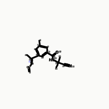 C=N/C=C(\C)c1cc(C)cc(C(=O)NC(C)(C)C#N)c1